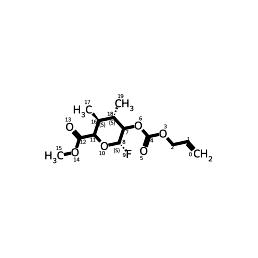 C=CCOC(=O)OC1[C@H](F)OC(C(=O)OC)[C@@H](C)[C@@H]1C